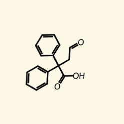 O=CCC(C(=O)O)(c1ccccc1)c1ccccc1